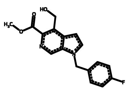 COC(=O)c1ncc2c(ccn2Cc2ccc(F)cc2)c1CO